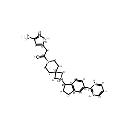 Cc1cc(CC(=O)N2CCC3(CC2)CN(C2CCc4cc(-c5ncccn5)ccc42)C3)[nH]n1